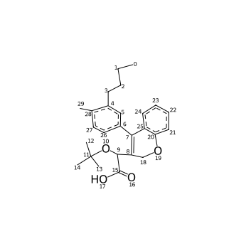 CCCCc1cc(C2=C(C(OC(C)(C)C)C(=O)O)COc3ccccc32)ccc1C